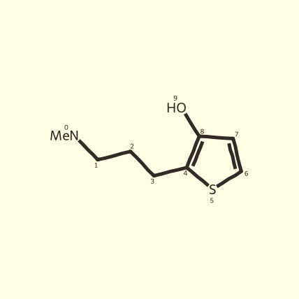 CNCCCc1sccc1O